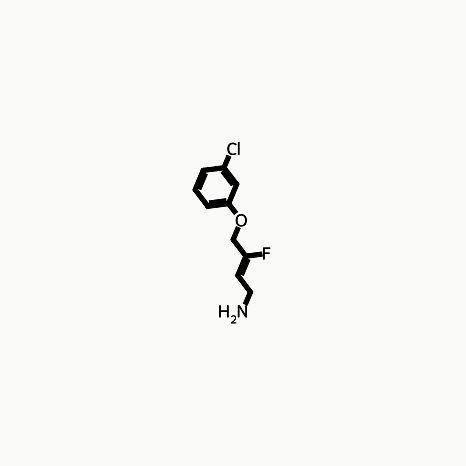 NCC=C(F)COc1cccc(Cl)c1